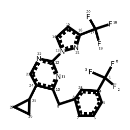 FC(F)(F)c1cccc(Cc2nc(-n3ccc(C(F)(F)F)n3)ncc2C2CC2)c1